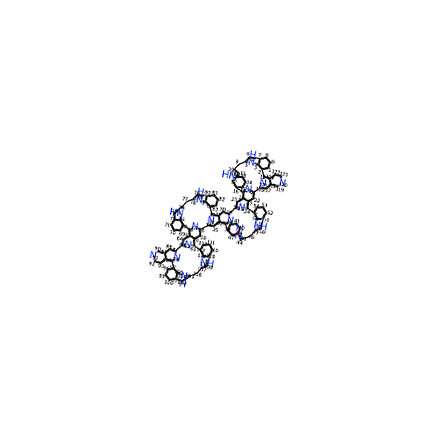 c1cc2c3[nH]c(cc3c1)Cc1cc3cccc(c3[nH]1)-c1nc(cc3c4nc(cc13)-c1cc3c5nc(cc3c(n1)-c1cccc3cc([nH]c13)Cc1cc3cccc-4c3[nH]1)-c1cc3c4nc(cc3c(n1)-c1cccc3cc([nH]c13)Cc1cc3cccc-5c3[nH]1)-c1cc3cnccc3c(n1)-c1cccc3cc([nH]c13)Cc1cc3cccc-4c3[nH]1)-c1cc3cnccc3c-2n1